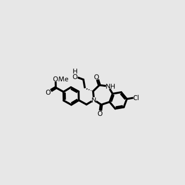 COC(=O)c1ccc(CN2C(=O)c3ccc(Cl)cc3NC(=O)[C@H]2CCO)cc1